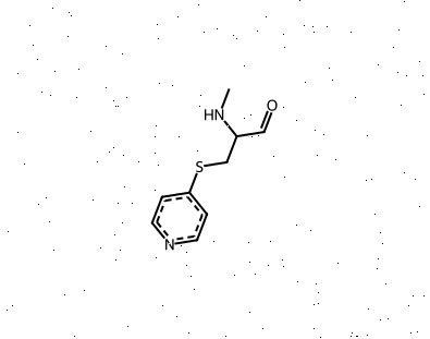 CNC(C=O)CSc1ccncc1